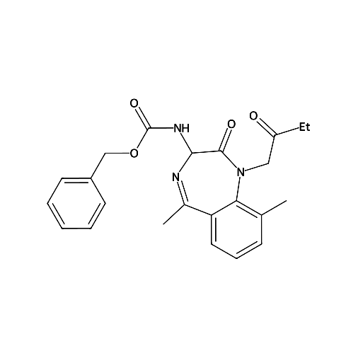 CCC(=O)CN1C(=O)C(NC(=O)OCc2ccccc2)N=C(C)c2cccc(C)c21